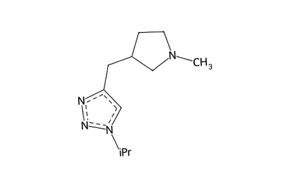 CC(C)n1cc(CC2CCN(C)C2)nn1